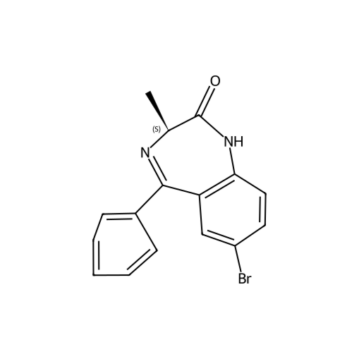 C[C@@H]1N=C(c2ccccc2)c2cc(Br)ccc2NC1=O